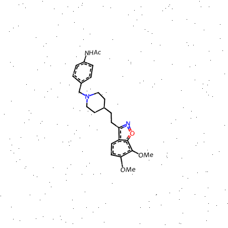 COc1ccc2c(CCC3CCN(Cc4ccc(NC(C)=O)cc4)CC3)noc2c1OC